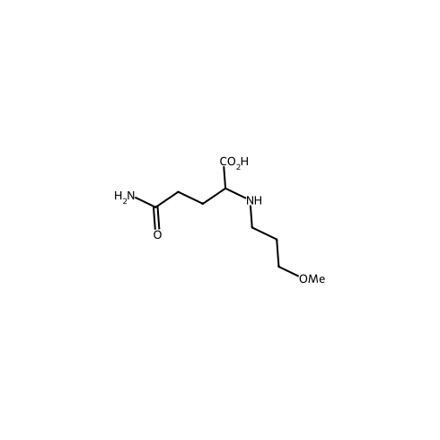 COCCCNC(CCC(N)=O)C(=O)O